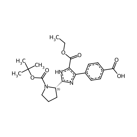 CCOC(=O)c1[nH]c([C@@H]2CCCN2C(=O)OC(C)(C)C)nc1-c1ccc(C(=O)O)cc1